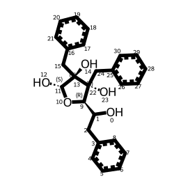 OC(Cc1ccccc1)[C@H]1O[C@H](O)[C@](O)(Cc2ccccc2)[C@@]1(O)Cc1ccccc1